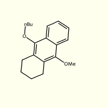 CCCCOc1c2c(c(OC)c3ccccc13)CCCC2